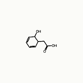 O=C(O)CC1C=CC=C[C]1O